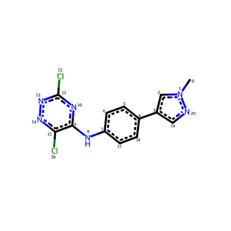 Cn1cc(-c2ccc(Nc3nc(Cl)nnc3Cl)cc2)cn1